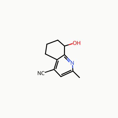 Cc1cc(C#N)c2c(n1)C(O)CCC2